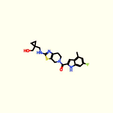 Cc1cc(F)cc2[nH]c(C(=O)N3CCc4nc(NCC5(CO)CC5)sc4C3)cc12